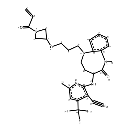 C=CC(=O)N1CC(OCCCN2CCC(Nc3nc(C)cc(C(F)(F)F)c3C#N)C(=O)N(C)c3ccccc32)C1